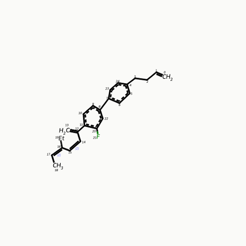 C=CCCc1ccc(-c2ccc(C(=C)/C=C\C(=C/C)CC)c(F)c2)cc1